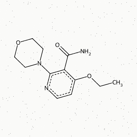 CCOc1ccnc(N2CCOCC2)c1C(N)=O